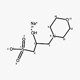 O=S(=O)([O-])CC(O)CN1CCOCC1.[Na+]